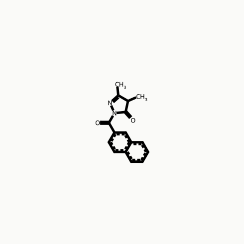 CC1=NN(C(=O)c2ccc3ccccc3c2)C(=O)C1C